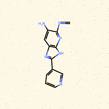 C=Nc1nc2[nH]c(-c3cccnc3)nc2cc1N